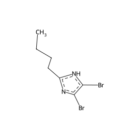 CCCCc1nc(Br)c(Br)[nH]1